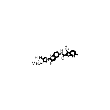 COC[C@H]1CN(c2nc3c(cc2F)C[C@H](NC(=O)c2sc4nc(C)ccc4c2N)CC3)C[C@H]1N